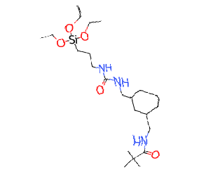 CCO[Si](CCCNC(=O)NCC1CCCC(CNC(=O)C(C)(C)C)C1)(OCC)OCC